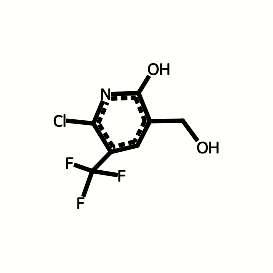 OCc1cc(C(F)(F)F)c(Cl)nc1O